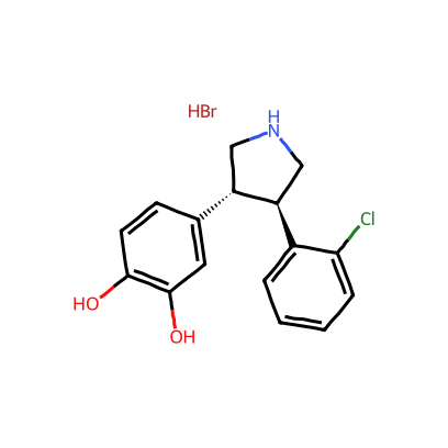 Br.Oc1ccc([C@@H]2CNC[C@H]2c2ccccc2Cl)cc1O